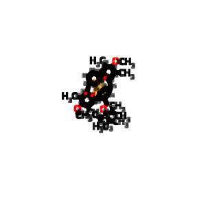 COc1c(C)cc(Pc2cc3c(CO[Si](C(C)C)(C(C)C)C(C)C)cc2CCc2ccc(c(Pc4cc(C)c(OC)c(C)c4)c2)CC3)cc1C